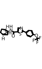 O=C(N[C@@H]1C[C@H]2CC[C@@H]1N2)c1cnc(-c2ccc(OC(F)(F)F)cc2)s1